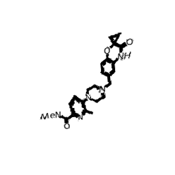 CNC(=O)c1ccc(N2CCN(Cc3ccc4c(c3)NC(=O)C3(CC3)O4)CC2)c(C)n1